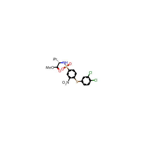 COC(=O)[C@@H](NS(=O)(=O)c1ccc(Sc2ccc(Cl)c(Cl)c2)c([N+](=O)[O-])c1)C(C)C